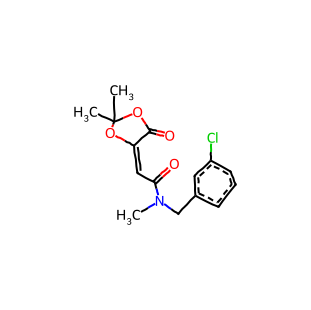 CN(Cc1cccc(Cl)c1)C(=O)C=C1OC(C)(C)OC1=O